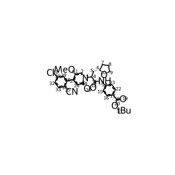 COc1cn(C(C[C@@H]2CCCO2)C(=O)Nc2ccc(C(=O)OC(C)(C)C)cc2)c(=O)cc1-c1cc(Cl)ccc1C#N